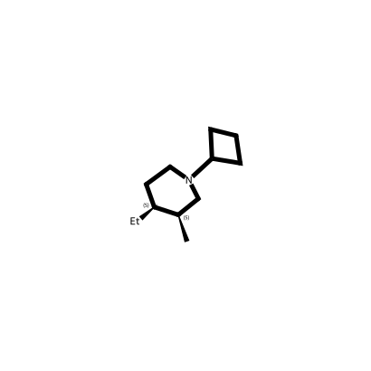 CC[C@H]1CCN(C2CCC2)C[C@H]1C